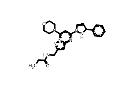 CCC(=O)NCc1cc2nc(N3C=CC(c4ccccc4)N3)cc(N3CCOCC3)n2n1